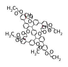 C=CC(=O)Oc1ccc(-c2ccc(OC(=O)C=C)c(C(c3ccc(C(c4cc(-c5ccc(OC(=O)C=C)cc5)ccc4OC(=O)C=C)c4cc(-c5ccc(OC(=O)C=C)cc5)ccc4OC(=O)C=C)cc3)c3cc(-c4ccc(OC(=O)C=C)cc4)ccc3OC(=O)C=C)c2)cc1